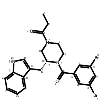 CCC(=O)N1CCN(C(=O)c2cc(Br)cc(Br)c2)[C@H](Cc2c[nH]c3ccccc23)C1